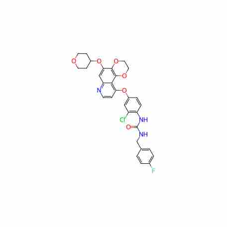 O=C(NCc1ccc(F)cc1)Nc1ccc(Oc2ccnc3cc(OC4CCOCC4)c4c(c23)OCCO4)cc1Cl